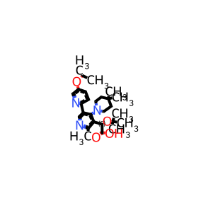 Cc1ncc(-c2ccc(OC(C)C)cn2)c(N2CCC(C)(C)CC2)c1[C@H](OC(C)(C)C)C(=O)O